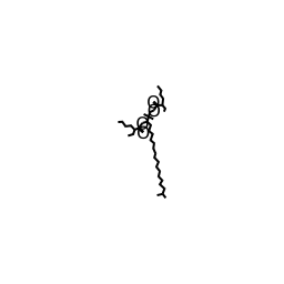 CCCCC(CC)C(=O)OCC(C)(C)C(CCCCCCCCCCCCCCCC(C)C)OC(=O)C(CC)CCCC